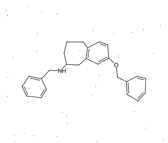 c1ccc(CNC2CCCc3ccc(OCc4ccccc4)cc3C2)cc1